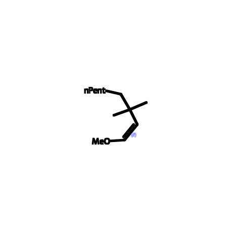 CCCCCCC(C)(C)/C=C\OC